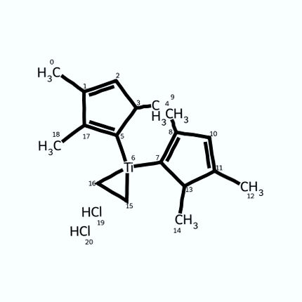 CC1=CC(C)[C]([Ti]2([C]3=C(C)C=C(C)C3C)[CH2][CH2]2)=C1C.Cl.Cl